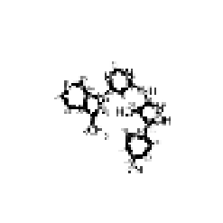 Cc1nn(-c2cc(Nc3n[nH]c(-c4ccc(C#N)cc4)c3O)ncn2)c2cnccc12